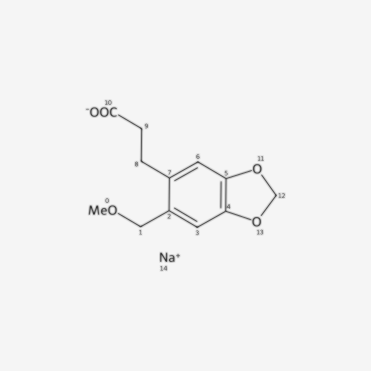 COCc1cc2c(cc1CCC(=O)[O-])OCO2.[Na+]